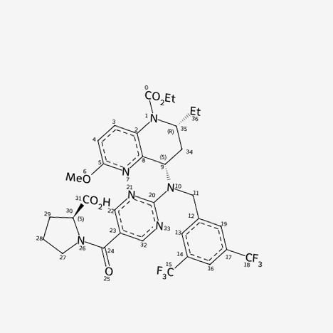 CCOC(=O)N1c2ccc(OC)nc2[C@@H](N(Cc2cc(C(F)(F)F)cc(C(F)(F)F)c2)c2ncc(C(=O)N3CCC[C@H]3C(=O)O)cn2)C[C@H]1CC